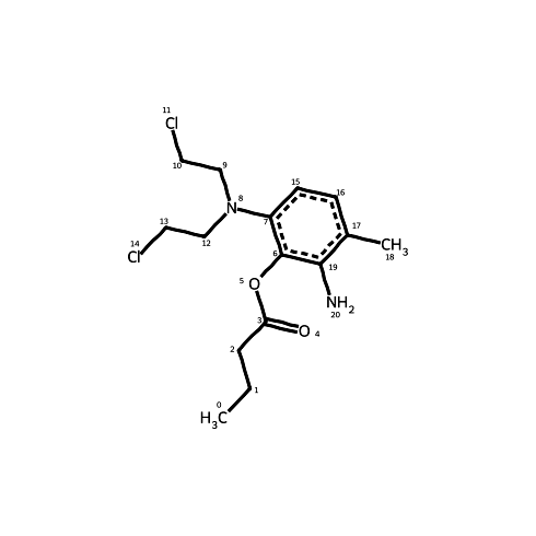 CCCC(=O)Oc1c(N(CCCl)CCCl)ccc(C)c1N